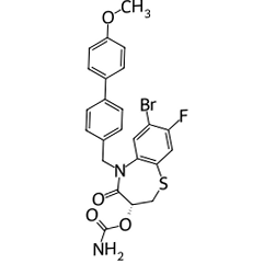 COc1ccc(-c2ccc(CN3C(=O)[C@@H](OC(N)=O)CSc4cc(F)c(Br)cc43)cc2)cc1